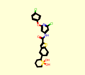 O=C(Nc1cc(Cl)nc(Oc2ccc(Cl)cc2)c1)c1cc2cc(C3CCCCS3(O)O)ccc2s1